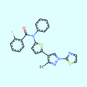 CCc1nn(-c2nccs2)cc1-c1ccc(N(C(=O)c2ccccc2F)c2ccccc2)s1